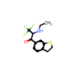 CCNC(C(=O)c1ccc2c(c1)SCC2)C(F)(F)F